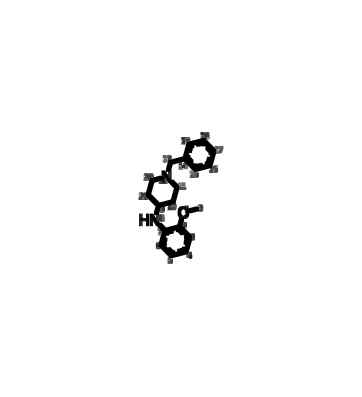 COc1ccccc1NC1CCN(Cc2ccccc2)CC1